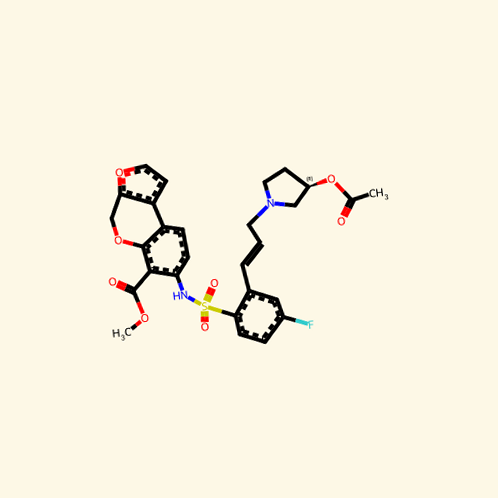 COC(=O)c1c(NS(=O)(=O)c2ccc(F)cc2C=CCN2CC[C@@H](OC(C)=O)C2)ccc2c1OCc1occc1-2